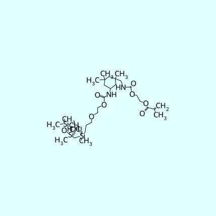 C=C(C)C(=O)OCCOC(=O)NCC1(C)CC(NC(=O)OCCOCCC[Si](C)(C)C[Si](C)(C)O[Si](C)(C)C)CC(C)(C)C1